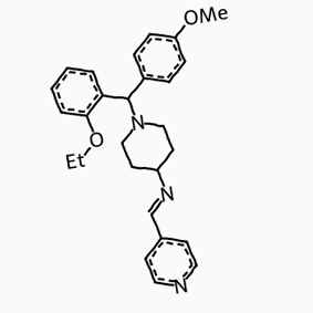 CCOc1ccccc1C(c1ccc(OC)cc1)N1CCC(N=Cc2ccncc2)CC1